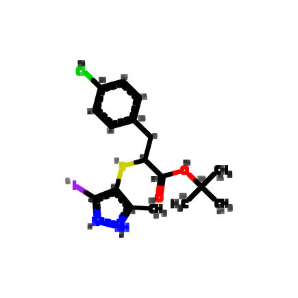 Cc1[nH]nc(I)c1SC(Cc1ccc(Cl)cc1)C(=O)OC(C)(C)C